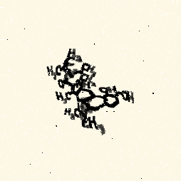 Cc1c(C(=O)N(C(C)C)C(C)C)[nH]c2c1C[C@@H]1C(C2)c2c(ccc(CO)c2O)C[C@H]1N(C)C